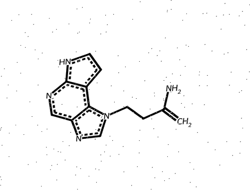 C=C(N)CCn1cnc2cnc3[nH]ccc3c21